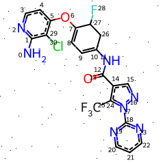 Nc1nccc(OC2=CC=C(NC(=O)c3cnn(-c4ncccn4)c3C(F)(F)F)CC2F)c1Cl